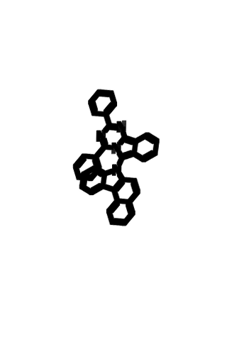 c1ccc(-c2nc(-c3ccccc3)n3c(-n4c5ccccc5c5c6ccccc6ccc54)c4ccccc4c3n2)cc1